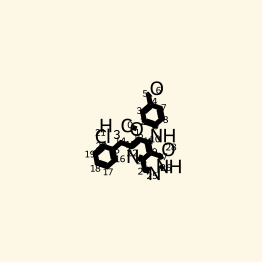 COc1cc(C=O)ccc1Nc1cc(Cc2ccccc2Cl)nc2cn[nH]c(=O)c12